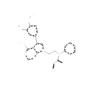 C=CC(=O)N(CCn1cc(-c2ccc(OC)c(OC)c2)c2c(N)ncnc21)c1ccccc1